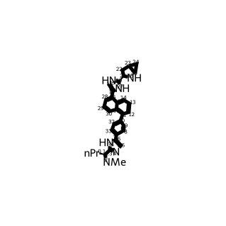 CCC[C@H](NC)c1ncc(-c2ccc(-c3cccc4c(C5=CN[C@@H](C6CC7CC7N6)N5)cccc34)cc2)[nH]1